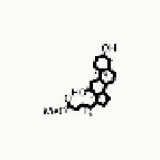 COC(=O)CC[C@@H](C)C1CCC2C3CCC4C[C@H](O)CC[C@]4(C)C3C[C@H](O)[C@@]21C